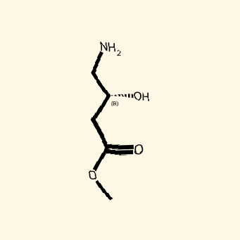 COC(=O)C[C@@H](O)CN